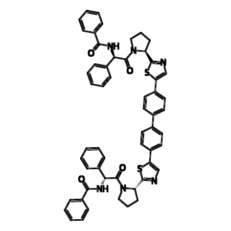 O=C(N[C@@H](C(=O)N1CCC[C@H]1c1ncc(-c2ccc(-c3ccc(-c4cnc([C@@H]5CCCN5C(=O)[C@H](NC(=O)c5ccccc5)c5ccccc5)s4)cc3)cc2)s1)c1ccccc1)c1ccccc1